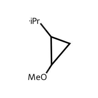 COC1CC1[C](C)C